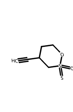 C#CC1CCOS(=O)(=S)C1